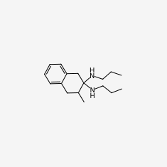 CCCNC1(NCCC)Cc2ccccc2CC1C